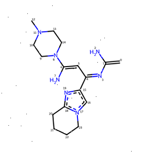 C=C(N)/N=C(\C=C(/N)N1CCN(C)CC1)c1cn2c(n1)CCCC2